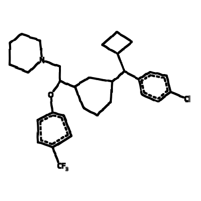 FC(F)(F)c1ccc(OC(CN2CCCCC2)C2CCCC(C(c3ccc(Cl)cc3)C3CCC3)C2)cc1